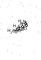 C=CC(=O)N1CCN2C(=C)c3ccc(-c4cccc5sc(N)c(C#N)c45)c(Cl)c3OCC[C@H]2C1